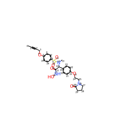 CC#CCOc1ccc(S(=O)(=O)N(C)C(C(=O)NO)c2ccc(OCCN3CCCC3=O)cc2)cc1